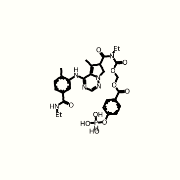 CCNC(=O)c1ccc(C)c(NC2=NC=NN3CC(C(=O)N(CC)C(=O)OCOC(=O)c4ccc(O[PH](O)(O)O)cc4)C(C)=C23)c1